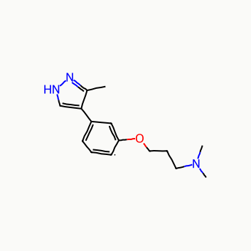 Cc1n[nH]cc1-c1cc[c]c(OCCCN(C)C)c1